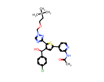 CC(=O)Nc1cc(-c2cc(C(O)c3ccc(Cl)cc3)c(-c3ncn(COCC[Si](C)(C)C)n3)s2)ccn1